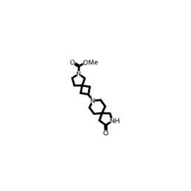 COC(=O)N1CCC2(CC(N3CCC4(CC3)CNC(=O)C4)C2)C1